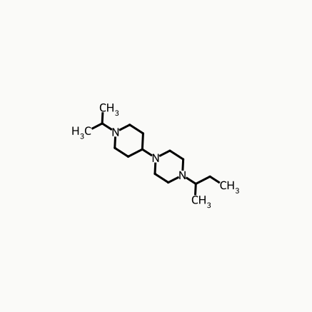 CCC(C)N1CCN(C2CCN(C(C)C)CC2)CC1